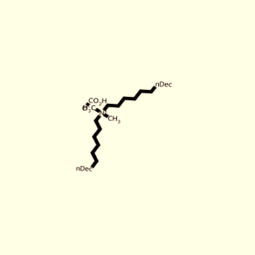 CCCCCCCCCCCCCCCC[N+](C)(C)CCCCCCCCCCCCCCCC.O=C([O-])O